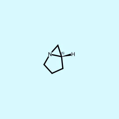 C1C[C@H]2CN2C1